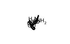 CCCCC(N)C(N)S(=O)(=O)c1ccc(C(=O)[C@H](C)N(C(=O)C2CNCCO2)c2ccc3ccccc3c2)cc1